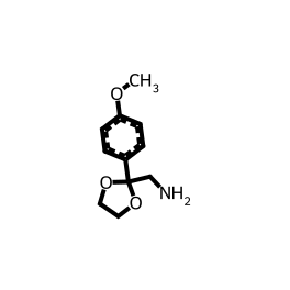 COc1ccc(C2(CN)OCCO2)cc1